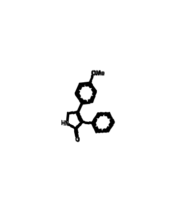 COc1ccc(C2=C(c3ccccc3)C(=O)NC2)cc1